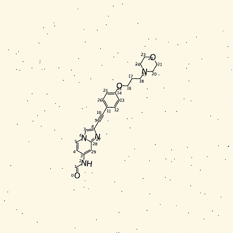 O=CNc1ccn2cc(C#Cc3ccc(OCCCN4CCOCC4)cc3)nc2c1